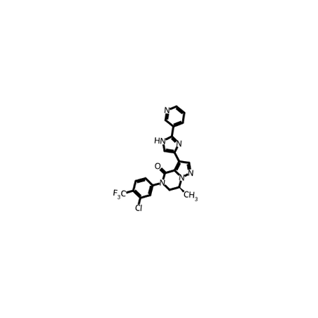 C[C@H]1CN(c2ccc(C(F)(F)F)c(Cl)c2)C(=O)c2c(-c3c[nH]c(-c4cccnc4)n3)cnn21